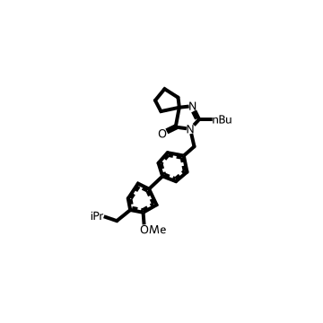 CCCCC1=NC2(CCCC2)C(=O)N1Cc1ccc(-c2ccc(CC(C)C)c(OC)c2)cc1